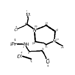 CC(C)NCCCl.CCC.CCC(Cl)N1CCN(C)CC1